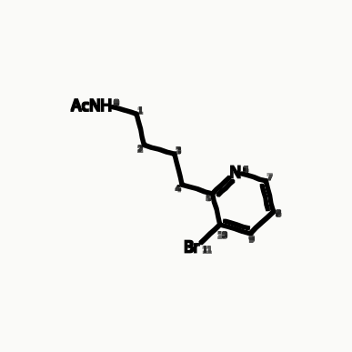 CC(=O)NCCCCc1ncccc1Br